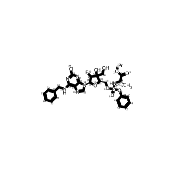 CC(C)OC(=O)[C@H](C)NP(=O)(OC[C@H]1O[C@@H](n2cnc3c(NCc4ccccc4)nc(Cl)nc32)C(F)C1(C)CO)Oc1ccccc1